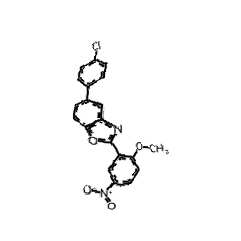 COc1ccc([N+](=O)[O-])cc1-c1nc2cc(-c3ccc(Cl)cc3)ccc2o1